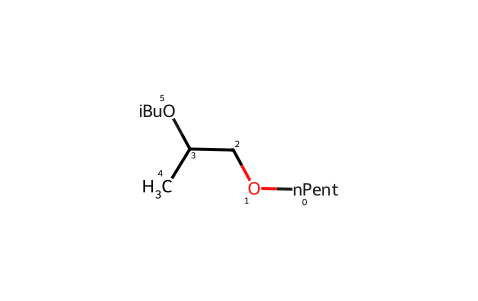 CCCCCOCC(C)OCC(C)C